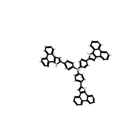 c1ccc2c(c1)c1ccccc1c1sc(-c3ccc(N(c4ccc(-c5cc6c7ccccc7c7ccccc7c6s5)cc4)c4ccc(-c5cc6c7ccccc7c7ccccc7c6s5)cc4)cc3)cc21